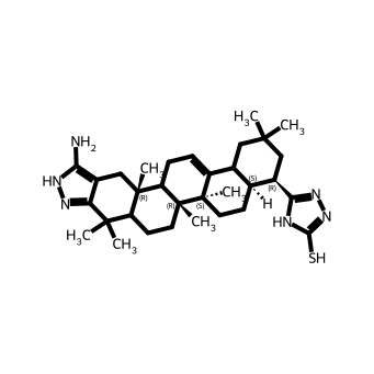 CC1(C)CC2C3=CCC4[C@@]5(C)Cc6c(n[nH]c6N)C(C)(C)C5CC[C@@]4(C)[C@]3(C)CC[C@@H]2[C@H](c2nnc(S)[nH]2)C1